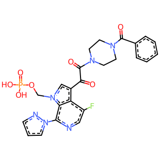 O=C(C(=O)N1CCN(C(=O)c2ccccc2)CC1)c1cn(COP(=O)(O)O)c2c(-n3cccn3)ncc(F)c12